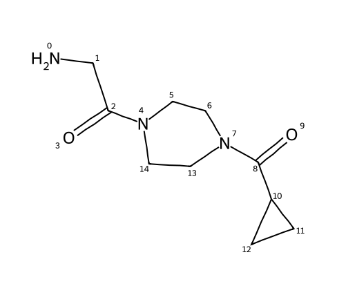 NCC(=O)N1CCN(C(=O)C2CC2)CC1